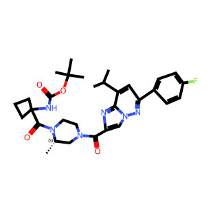 CC(C)c1cc(-c2ccc(F)cc2)nn2cc(C(=O)N3CCN(C(=O)C4(NC(=O)OC(C)(C)C)CCC4)[C@@H](C)C3)nc12